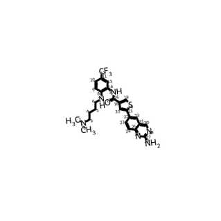 CN(C)CCCCNc1ccc(C(F)(F)F)cc1NC(=O)c1csc(-c2ccc3nc(N)ncc3c2)c1